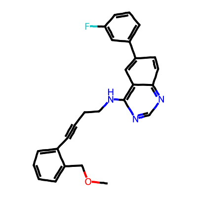 COCc1ccccc1C#CCCNc1ncnc2ccc(-c3cccc(F)c3)cc12